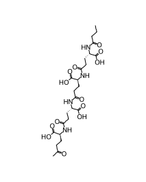 CCCC(=O)N[C@@H](CCC(=O)N[C@@H](CCC(=O)N[C@@H](CCC(=O)N[C@@H](CCC(C)=O)C(=O)O)C(=O)O)C(=O)O)C(=O)O